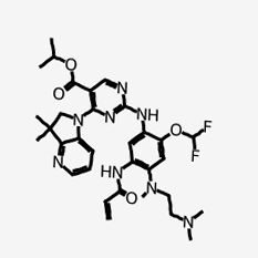 C=CC(=O)Nc1cc(Nc2ncc(C(=O)OC(C)C)c(N3CC(C)(C)c4ncccc43)n2)c(OC(F)F)cc1N(C)CCN(C)C